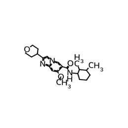 COc1cc2nc(C3CCOCC3)cn2cc1C(=O)NC1CCCC(C)C1C